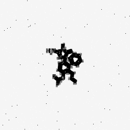 C=C1N(C)C(N)=N[C@]1(c1ccccc1)c1ccc(OC(F)F)c(CCC)c1